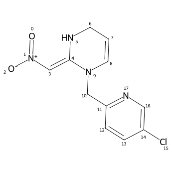 O=[N+]([O-])C=C1NCC=CN1Cc1ccc(Cl)cn1